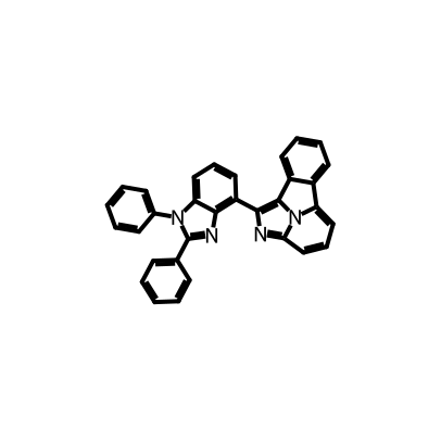 c1ccc(-c2nc3c(-c4nc5cccc6c7ccccc7c4n56)cccc3n2-c2ccccc2)cc1